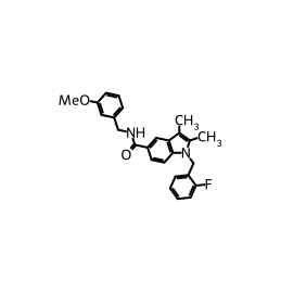 COc1cccc(CNC(=O)c2ccc3c(c2)c(C)c(C)n3Cc2ccccc2F)c1